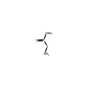 CO[P](=O)SN